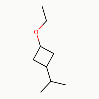 CCOC1CC(C(C)C)C1